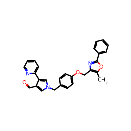 Cc1oc(-c2ccccc2)nc1COc1ccc(Cn2cc(C=O)c(-c3ccccn3)c2)cc1